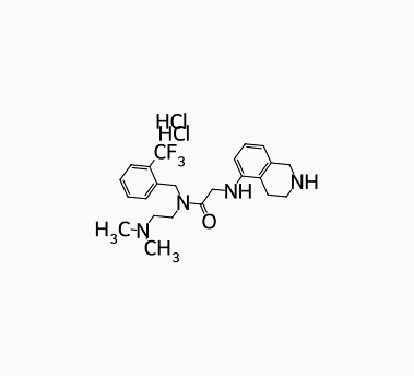 CN(C)CCN(Cc1ccccc1C(F)(F)F)C(=O)CNc1cccc2c1CCNC2.Cl.Cl